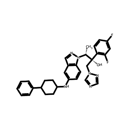 C[C@@H](n1ncc2cc(NC3CCC(c4ccccc4)CC3)ccc21)[C@](O)(Cn1cncn1)c1ccc(F)cc1F